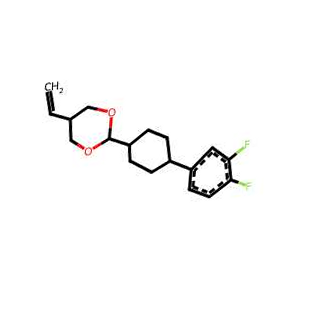 C=CC1COC(C2CCC(c3ccc(F)c(F)c3)CC2)OC1